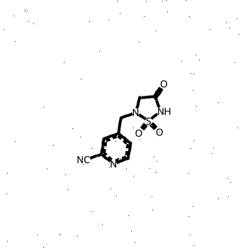 N#Cc1cc(CN2CC(=O)NS2(=O)=O)ccn1